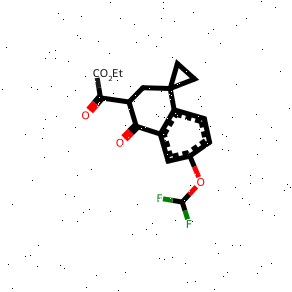 CCOC(=O)C(=O)C1CC2(CC2)c2ccc(OC(F)F)cc2C1=O